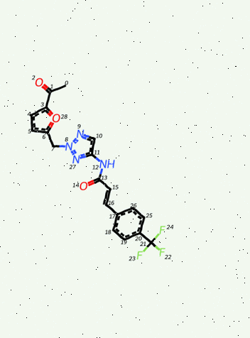 CC(=O)c1ccc(Cn2ncc(NC(=O)C=Cc3ccc(C(F)(F)F)cc3)n2)o1